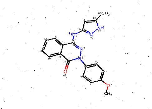 COc1ccc(-n2nc(Nc3cc(C)[nH]n3)c3ccccc3c2=O)cc1